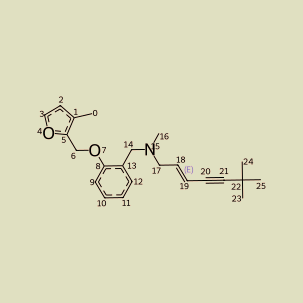 Cc1ccoc1COc1ccccc1CN(C)C/C=C/C#CC(C)(C)C